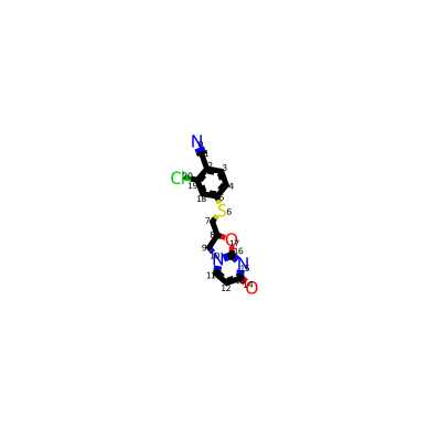 N#Cc1ccc(SCC2Cn3ccc(=O)nc3O2)cc1Cl